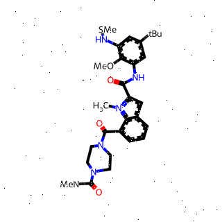 CNC(=O)N1CCN(C(=O)c2cccc3cc(C(=O)Nc4cc(C(C)(C)C)cc(NSC)c4OC)n(C)c23)CC1